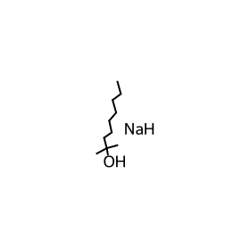 CCCCCCCC(C)(C)O.[NaH]